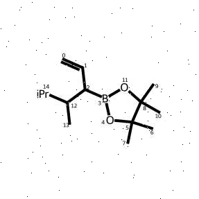 C=CC(B1OC(C)(C)C(C)(C)O1)C(C)C(C)C